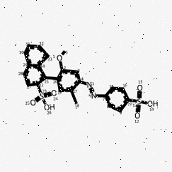 COc1cc(N=Nc2ccc(S(=O)(=O)O)cc2)c(C)cc1-c1c(S(=O)(=O)O)ccc2ccccc12